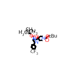 CC(C)(C)OC(=O)N1CCC(O)(c2nc(-c3ccc(C(F)(F)F)cc3)cn2COCC[Si](C)(C)C)CC1